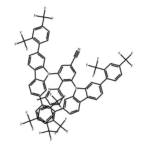 Cc1cccc(-c2c(-n3c4cc(-c5ccc(C(F)(F)F)cc5C(F)(F)F)ccc4c4ccc(-c5ccc(C(F)(F)F)cc5C(F)(F)F)cc43)cc(C#N)cc2-n2c3cc(-c4ccc(C(F)(F)F)cc4C(F)(F)F)ccc3c3ccc(-c4ccc(C(F)(F)F)cc4C(F)(F)F)cc32)n1